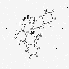 FC1(F)c2cccc3c4ccccc4c4nc(-c5ccccc5)c(n4c23)C1(F)F